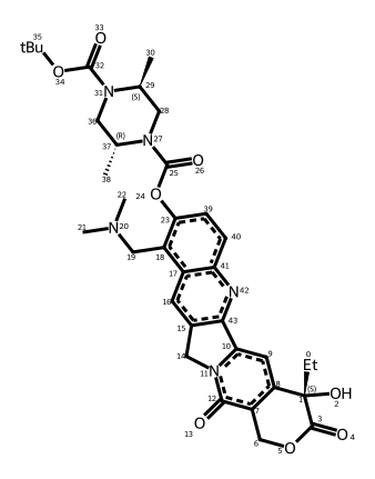 CC[C@@]1(O)C(=O)OCc2c1cc1n(c2=O)Cc2cc3c(CN(C)C)c(OC(=O)N4C[C@H](C)N(C(=O)OC(C)(C)C)C[C@H]4C)ccc3nc2-1